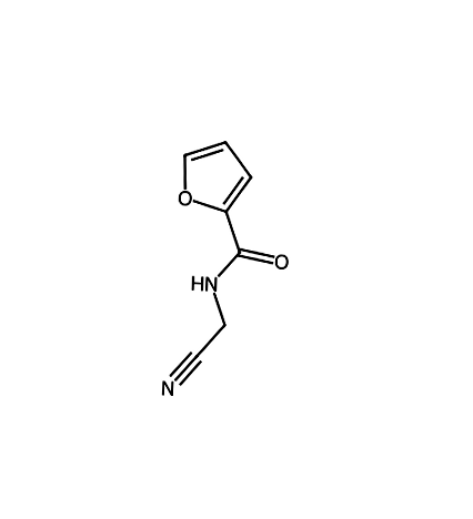 N#CCNC(=O)c1ccco1